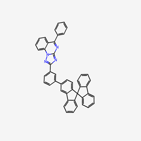 c1ccc(-c2nc3nc(-c4cccc(-c5ccc6c(c5)-c5ccccc5C65c6ccccc6-c6ccccc65)c4)nn3c3ccccc23)cc1